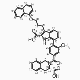 Cc1cc(C(=O)N2Cc3ccccc3C[C@H]2C(=O)O)ccc1-c1cccc2c(CCCOc3cccc4ccccc34)c(C(=O)O)[nH]c12